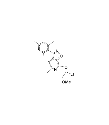 CCC(COC)Oc1nc(C)nc2c(-c3c(C)cc(C)cc3C)noc12